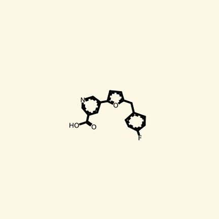 O=C(O)c1cncc(-c2ccc(Cc3ccc(F)cc3)o2)c1